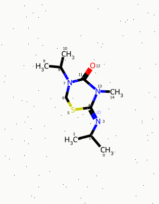 CC(C)/N=C1\SCN(C(C)C)C(=O)N1C